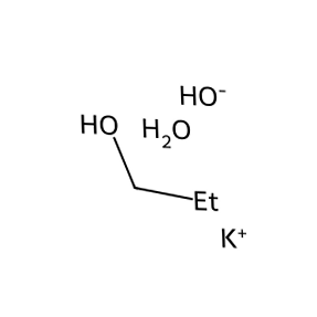 CCCO.O.[K+].[OH-]